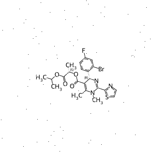 CC1=C(C(=O)O[C@@H](C)C(=O)OC(C)C)[C@H](c2ccc(F)cc2Br)N=C(c2nccs2)N1C